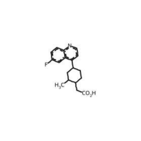 CC1CC(c2ccnc3ccc(F)cc23)CCC1CC(=O)O